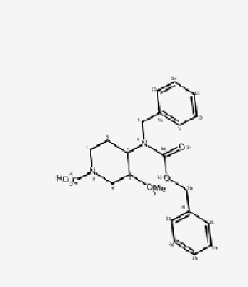 COC1CN(C(=O)O)CCC1N(Cc1ccccc1)C(=O)OCc1ccccc1